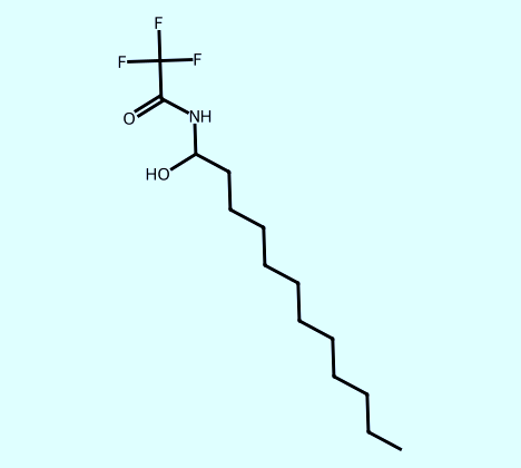 CCCCCCCCCCCC(O)NC(=O)C(F)(F)F